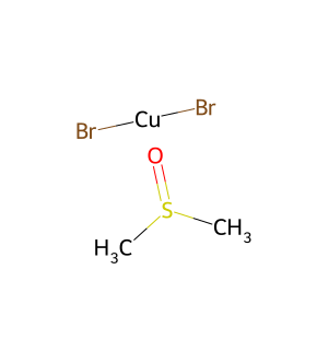 CS(C)=O.[Br][Cu][Br]